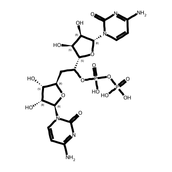 Nc1ccn([C@@H]2O[C@H](C(C[C@H]3O[C@@H](n4ccc(N)nc4=O)[C@H](O)[C@@H]3O)OP(=O)(O)OP(=O)(O)O)[C@@H](O)[C@H]2O)c(=O)n1